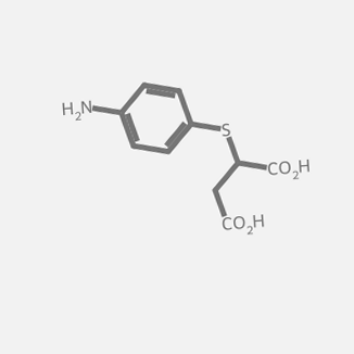 Nc1ccc(SC(CC(=O)O)C(=O)O)cc1